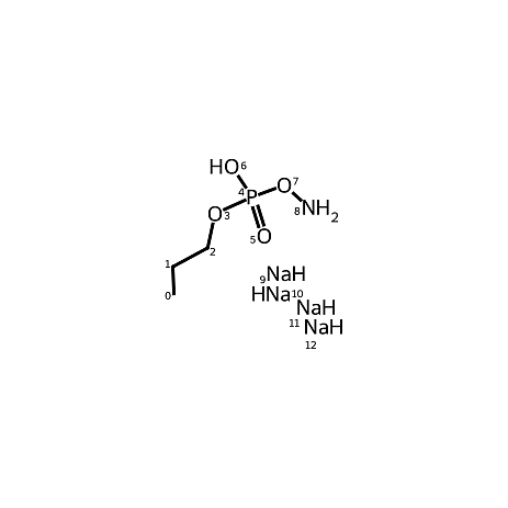 CCCOP(=O)(O)ON.[NaH].[NaH].[NaH].[NaH]